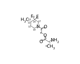 C[C@@H](N)C(=O)OCC(=O)N1CC[C@H](C)C(F)(F)C1